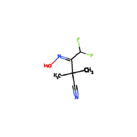 CC(C)(C#N)/C(=N\O)C(F)F